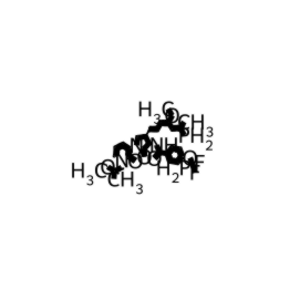 COC(/C=C(\C)P)=C/C=C/[C@@H]1CN(c2cccn(CC(C)OC)c2=O)C(=O)[C@H]1NC(=O)c1ccc(OC(F)(F)P)cc1